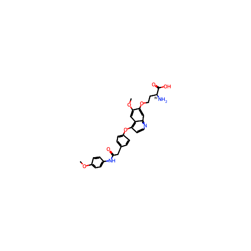 COc1ccc(NC(=O)Cc2ccc(Oc3ccnc4cc(OCC[C@H](N)C(=O)O)c(OC)cc34)cc2)cc1